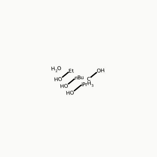 CC(C)O.CCCCO.CCO.CO.O